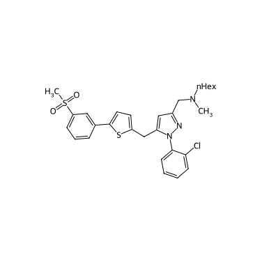 CCCCCCN(C)Cc1cc(Cc2ccc(-c3cccc(S(C)(=O)=O)c3)s2)n(-c2ccccc2Cl)n1